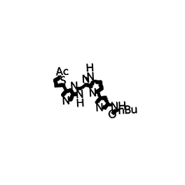 CCCCC(=O)Nc1cncc(-c2ccc3[nH]nc(-c4nc5c(-c6ccc(C(C)=O)s6)cncc5[nH]4)c3n2)c1